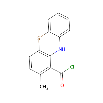 Cc1ccc2c(c1C(=O)Cl)Nc1ccccc1S2